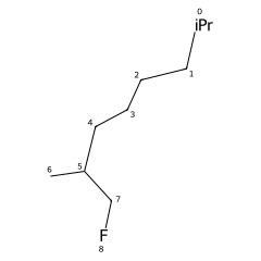 CC(C)CCCCC(C)CF